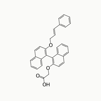 O=C(O)COc1ccc2ccccc2c1-c1c(OCC=Cc2ccccc2)ccc2ccccc12